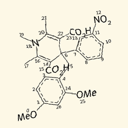 COc1ccc(CC2(c3cccc([N+](=O)[O-])c3)C(C(=O)O)=C(C)N(C)C(C)=C2C(=O)O)c(OC)c1